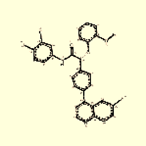 COc1ccccc1C[C@@H](C(=O)Nc1ccc(Cl)c(Cl)c1)c1ccc(-c2ccnc3ccc(F)cc23)cc1